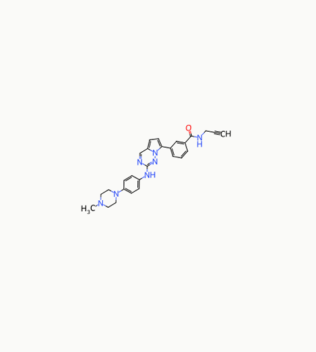 C#CCNC(=O)c1cccc(-c2ccc3cnc(Nc4ccc(N5CCN(C)CC5)cc4)nn23)c1